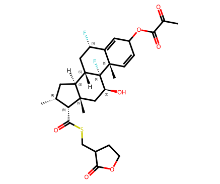 CC(=O)C(=O)OC1C=C[C@@]2(C)C(=C1)[C@@H](F)C[C@H]1[C@@H]3C[C@@H](C)[C@@H](C(=O)SCC4CCOC4=O)[C@@]3(C)C[C@H](O)[C@@]12F